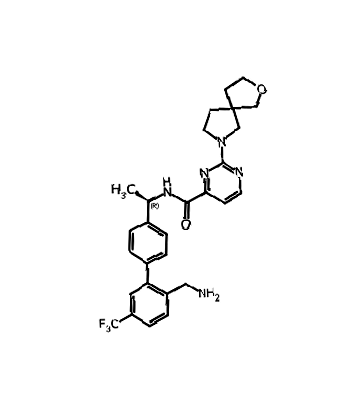 C[C@@H](NC(=O)c1ccnc(N2CCC3(CCOC3)C2)n1)c1ccc(-c2cc(C(F)(F)F)ccc2CN)cc1